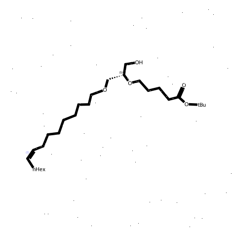 CCCCCC/C=C\CCCCCCCCOC[C@H](CO)OCCCCC(=O)OC(C)(C)C